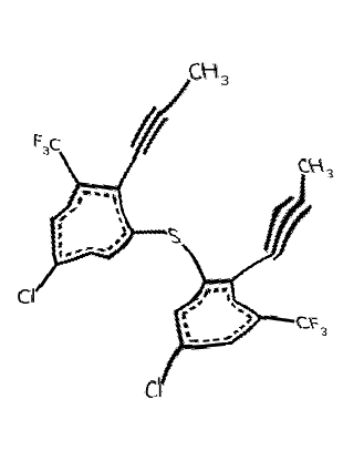 CC#Cc1c(Sc2cc(Cl)cc(C(F)(F)F)c2C#CC)cc(Cl)cc1C(F)(F)F